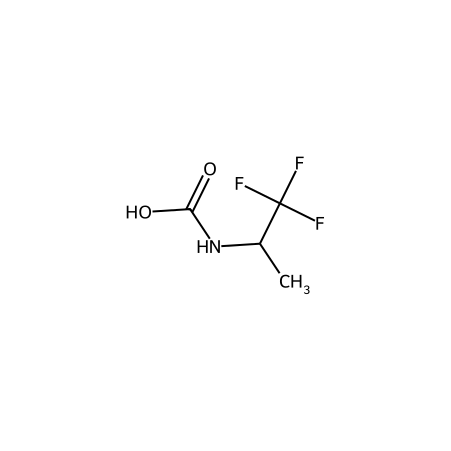 CC(NC(=O)O)C(F)(F)F